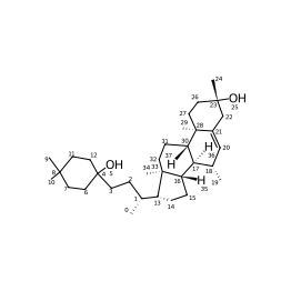 C[C@H](CCC1(O)CCC(C)(C)CC1)[C@H]1CC[C@H]2[C@@H]3[C@@H](C)C=C4C[C@@](C)(O)CC[C@]4(C)[C@H]3CC[C@]12C